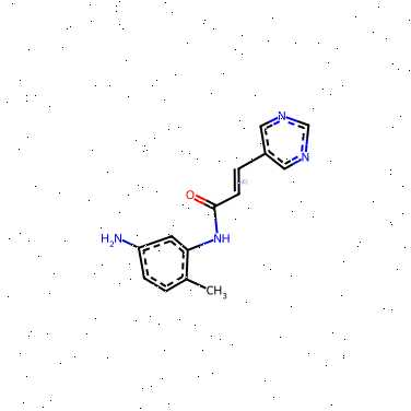 Cc1ccc(N)cc1NC(=O)/C=C/c1cncnc1